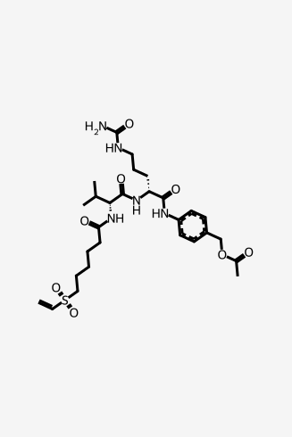 C=CS(=O)(=O)CCCCCC(=O)N[C@@H](C(=O)N[C@H](CCCNC(N)=O)C(=O)Nc1ccc(COC(C)=O)cc1)C(C)C